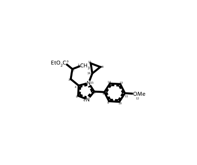 CCOC(=O)C(C)Cc1cnc(-c2ccc(OC)cc2)n1C1CC1